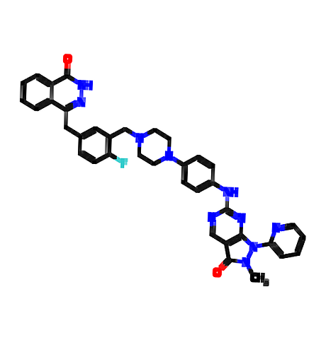 Cn1c(=O)c2cnc(Nc3ccc(N4CCN(Cc5cc(Cc6n[nH]c(=O)c7ccccc67)ccc5F)CC4)cc3)nc2n1-c1ccccn1